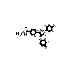 C=NC(=C)c1ccc(-c2nn(-c3ccc(F)cc3)cc2Sc2ccc(I)cc2)cc1